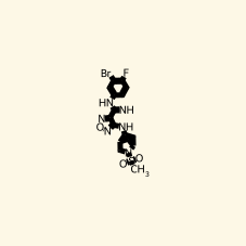 CS(=O)(=O)N1CC2CC1CC2Nc1nonc1C(=N)Nc1ccc(F)c(Br)c1